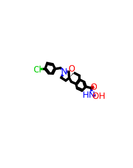 O=C(NO)c1ccc2c(c1)CC[C@@]1(CCN(Cc3ccc(Cl)cc3)C1=O)C2